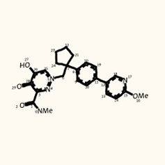 CNC(=O)c1nn(CC2(c3ccc(-c4ccc(OC)nc4)cc3)CCCC2)cc(O)c1=O